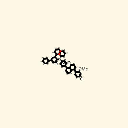 COc1cc(Cl)ccc1-c1ccc(OC)c2c(-c3ccc(N(c4ccccc4)c4c(F)cc(-c5ccccc5)cc4-c4ccccc4)cc3)cccc12